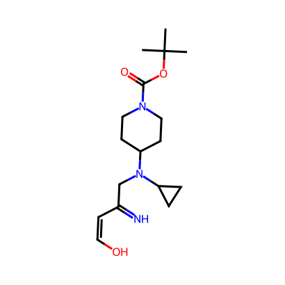 CC(C)(C)OC(=O)N1CCC(N(CC(=N)/C=C\O)C2CC2)CC1